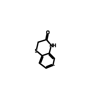 O=C1CSc2cc[c]cc2N1